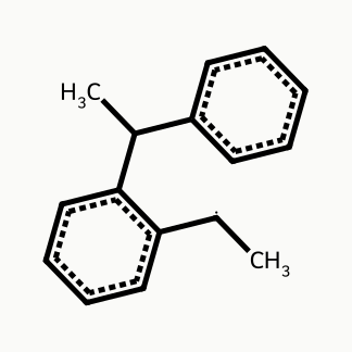 C[CH]c1ccccc1C(C)c1ccccc1